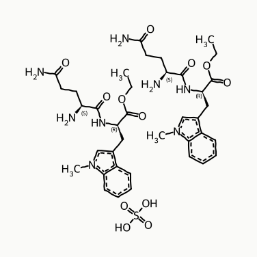 CCOC(=O)[C@@H](Cc1cn(C)c2ccccc12)NC(=O)[C@@H](N)CCC(N)=O.CCOC(=O)[C@@H](Cc1cn(C)c2ccccc12)NC(=O)[C@@H](N)CCC(N)=O.O=S(=O)(O)O